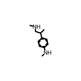 CNCC(C)c1ccc(NC)cc1